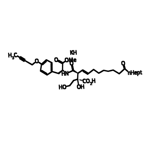 CC#CCOc1ccc(C[C@H](NC(=O)[C@@H](/C=C/CCCCCCC(=O)CCCCCCC)[C@@](O)(CCO)C(=O)O)C(=O)OC)cc1.[KH]